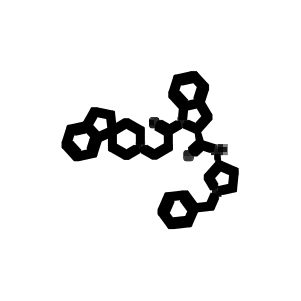 O=C(N[C@@H]1CCN(Cc2ccccc2)C1)[C@@H]1Cc2ccccc2N1C(=O)CCN1CCC2(CCc3ccccc32)CC1